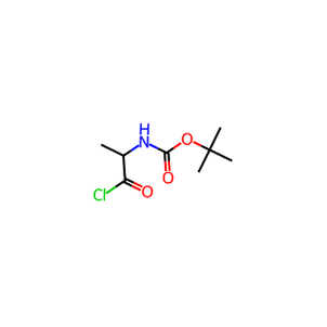 CC(NC(=O)OC(C)(C)C)C(=O)Cl